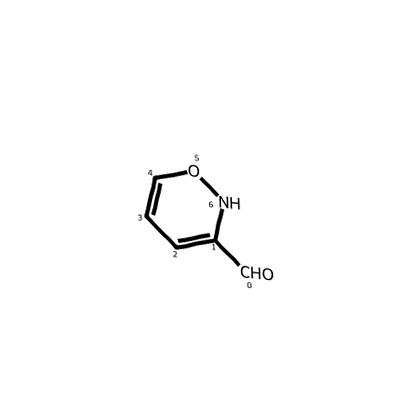 O=CC1=CC=CON1